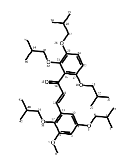 COc1cc(OCC(C)C)cc(/C=C/C(=O)c2c(OCC(C)C)ccc(OCC(C)C)c2OCC(C)C)c1OCC(C)C